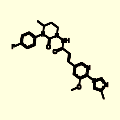 COc1cc(C=CC(=O)NN2CCC(C)N(c3ccc(F)cc3)C2=O)cnc1-n1cnc(C)c1